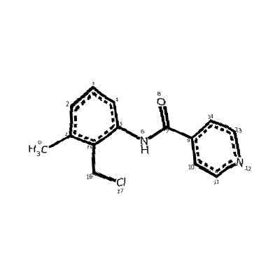 Cc1cccc(NC(=O)c2ccncc2)c1CCl